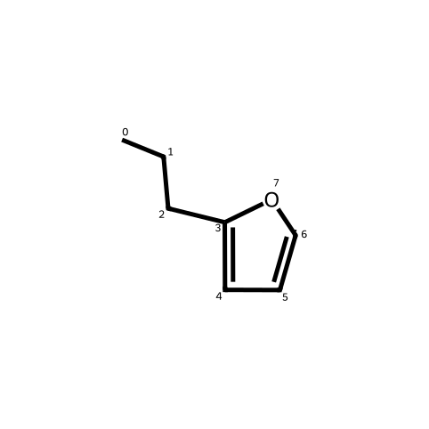 CCCc1cc[c]o1